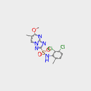 COc1nc2nc(S(=O)(=O)Nc3c(C)ccc(Cl)c3Cl)nn2cc1C